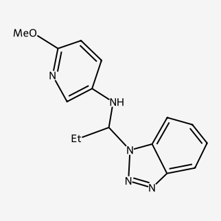 CCC(Nc1ccc(OC)nc1)n1nnc2ccccc21